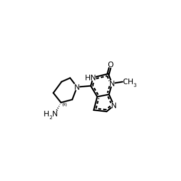 Cn1c2nccc-2c(N2CCC[C@@H](N)C2)[nH]c1=O